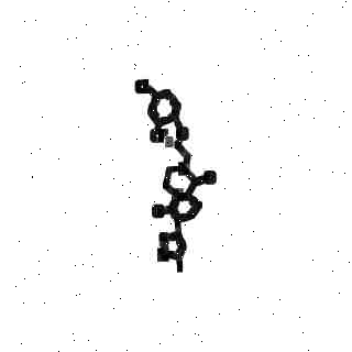 Cc1cc(-c2ccc3n(c2=O)CCN(CCOc2ccc(Cl)cc2C(F)(F)F)C3=O)sn1